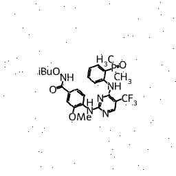 COc1cc(C(=O)NOCC(C)C)ccc1Nc1ncc(C(F)(F)F)c(Nc2ccccc2P(C)(C)=O)n1